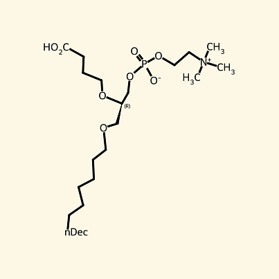 CCCCCCCCCCCCCCCCOC[C@H](COP(=O)([O-])OCC[N+](C)(C)C)OCCCC(=O)O